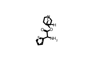 NC(C(=O)O[C@H]1CN2CCC1CC2)c1cccs1